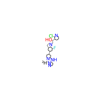 [2H]Cn1nccc1Nc1cc(-c2cc(F)c3c(c2)CCN3CC(O)c2cccnc2Cl)ccn1